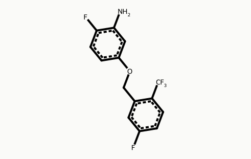 Nc1cc(OCc2cc(F)ccc2C(F)(F)F)ccc1F